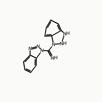 N=C(N1NNc2ccccc21)n1nnc2ccccc21